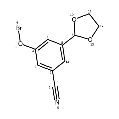 N#Cc1cc(OBr)cc(C2OCCO2)c1